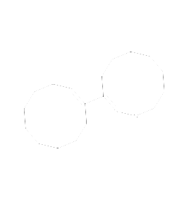 C1=C(C2=NNCCCCCCC2)CCCCCCCC1